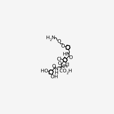 NCCOCCOc1cccc(CNC(=O)c2cc(Cl)c(C(=O)N[C@@H](CNC(=O)c3cc(O)cc(O)c3)C(=O)O)c(Cl)c2)c1